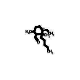 CCCCCC1(C)C(C=O)C(C)CC[C@H]1CC